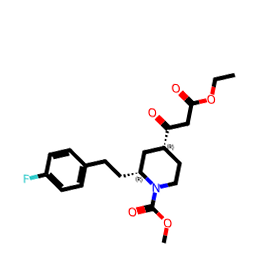 CCOC(=O)CC(=O)[C@@H]1CCN(C(=O)OC)[C@H](CCc2ccc(F)cc2)C1